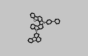 c1ccc(-c2ccc(-n3c4ccc5c6ccccc6oc5c4c4c5c6ccccc6n(-c6cc7c8c(cccc8c6)-c6ccccc6-7)c5ccc43)cc2)cc1